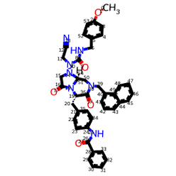 COc1ccc(CNC(=O)N(CC#N)N2CC(=O)N3[C@@H](Cc4ccc(NC(=O)c5ccccc5)cc4)C(=O)N(Cc4cccc5ccccc45)C[C@@H]32)cc1